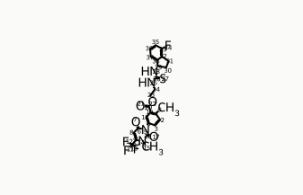 Cc1ccc(-n2c(=O)cc(C(F)(F)F)n(C)c2=O)cc1C(=O)OCCNC(=S)NC1CCc2c(F)cccc21